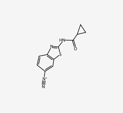 N#[N+]c1ccc2nc(NC(=O)C3CC3)sc2c1